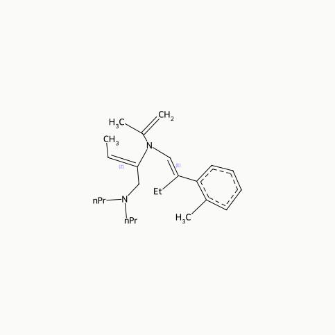 C=C(C)N(/C=C(\CC)c1ccccc1C)/C(=C\C)CN(CCC)CCC